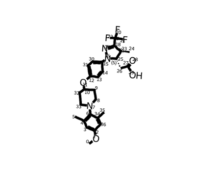 COc1cc(C)c(N2CCC(Oc3ccc(N4N=C(C(F)(F)F)[C@@H](C)[C@@H]4CC(=O)O)cc3)CC2)c(C)c1